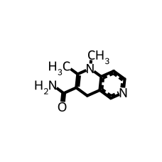 CC1=C(C(N)=O)Cc2cnccc2N1C